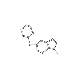 Cc1csc2cc(Oc3ncccn3)ccc12